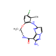 C[C@H]1CNC(=O)c2c(N)nn3ccc(nc23)Nc2c(ccc(F)c2C#N)O1